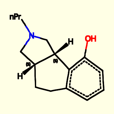 CCCN1C[C@H]2CCc3cccc(O)c3[C@H]2C1